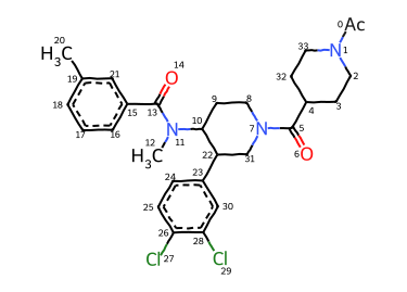 CC(=O)N1CCC(C(=O)N2CCC(N(C)C(=O)c3cccc(C)c3)C(c3ccc(Cl)c(Cl)c3)C2)CC1